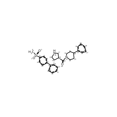 CS(=O)(=O)c1ccc(-c2ccccc2[C@@H]2CNC[C@H]2C(=O)N2CCC(c3ccccc3)CC2)cc1